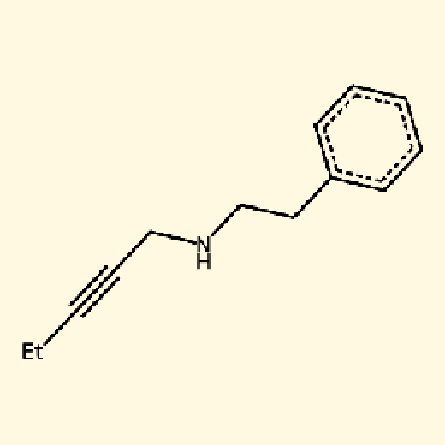 CCC#CCNCCc1ccccc1